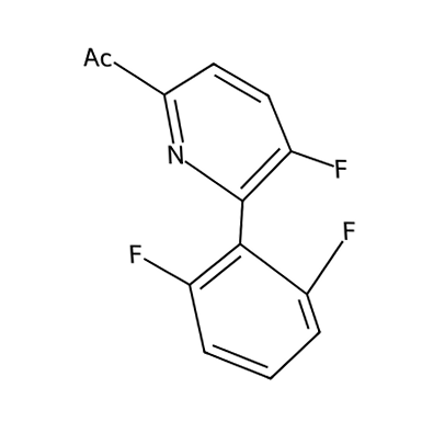 CC(=O)c1ccc(F)c(-c2c(F)cccc2F)n1